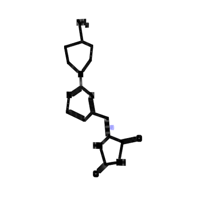 NC1CCN(c2nccc(/C=C3\NC(=O)NC3=O)n2)CC1